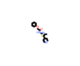 Cc1nc(NC(=O)COc2ccccc2)sc1-c1ccncc1